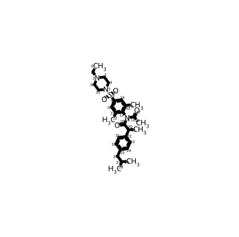 CCN1CCN(S(=O)(=O)c2cc(C)c(N(C(C)=O)C(=O)C(C)c3ccc(CC(C)C)cc3)c(C)c2)CC1